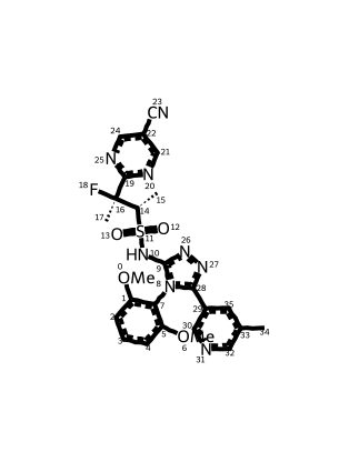 COc1cccc(OC)c1-n1c(NS(=O)(=O)[C@@H](C)[C@@](C)(F)c2ncc(C#N)cn2)nnc1-c1cncc(C)c1